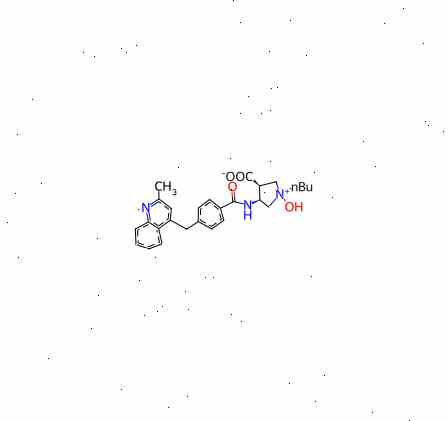 CCCC[N+]1(O)C[C@H](C(=O)[O-])[C@H](NC(=O)c2ccc(Cc3cc(C)nc4ccccc34)cc2)C1